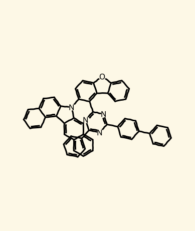 c1ccc(-c2ccc(-c3nc(-c4ccccc4)nc(-c4c(-n5c6cc7ccccc7cc6c6c7ccccc7ccc65)ccc5oc6ccccc6c45)n3)cc2)cc1